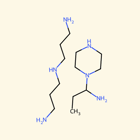 CCC(N)N1CCNCC1.NCCCNCCCN